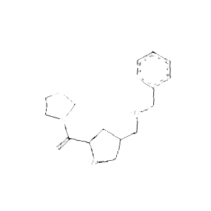 O=C(C1CC(CNCc2ccccn2)CN1)N1CCSC1